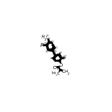 C=C(C)C(=O)Oc1ccc(-c2ccc(C)c(F)c2)cc1F